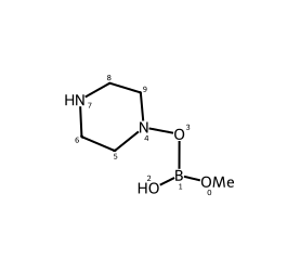 COB(O)ON1CCNCC1